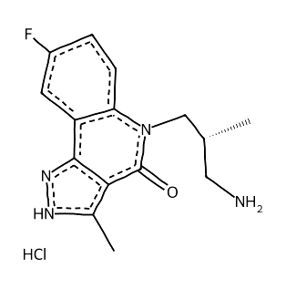 Cc1[nH]nc2c1c(=O)n(C[C@H](C)CN)c1ccc(F)cc21.Cl